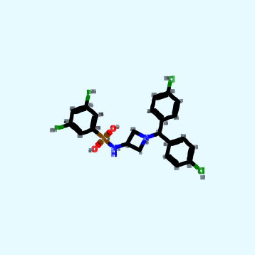 O=S(=O)(NC1CN(C(c2ccc(Cl)cc2)c2ccc(Cl)cc2)C1)c1cc(F)cc(F)c1